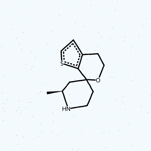 C[C@H]1CC2(CCN1)OCCc1ccsc12